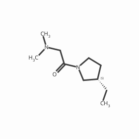 CC[C@H]1CCN(C(=O)CN(C)C)C1